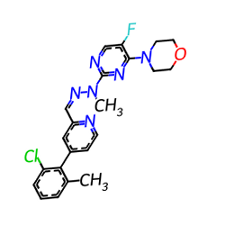 Cc1cccc(Cl)c1-c1ccnc(/C=N\N(C)c2ncc(F)c(N3CCOCC3)n2)c1